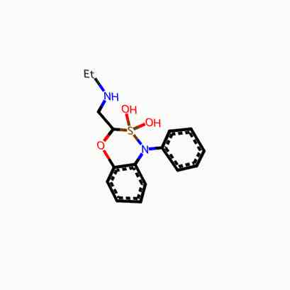 CCNCC1Oc2ccccc2N(c2ccccc2)S1(O)O